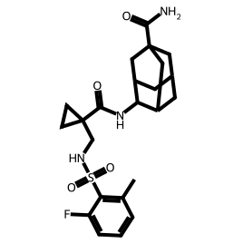 Cc1cccc(F)c1S(=O)(=O)NCC1(C(=O)NC2C3CC4CC2CC(C(N)=O)(C4)C3)CC1